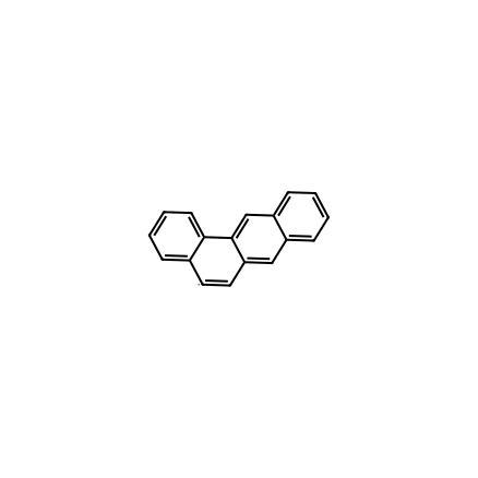 [c]1cc2cc3ccccc3cc2c2ccccc12